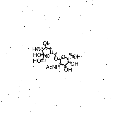 CC(=O)N[C@H]1[C@@H](OC[C@@H]2C[C@@H](O)[C@H](O)C(O)(CO)O2)O[C@H](CO)[C@@H](O)[C@@H]1O